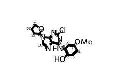 COc1ccc(O)c(Nc2nc(Cl)nc3c2ncn3C2CCCO2)c1